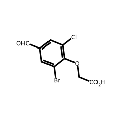 O=Cc1cc(Cl)c(OCC(=O)O)c(Br)c1